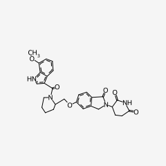 COc1cccc2c(C(=O)N3CCCCC3COc3ccc4c(c3)CN(C3CCC(=O)NC3=O)C4=O)c[nH]c12